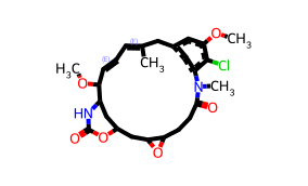 COc1cc2cc(c1Cl)N(C)C(=O)CCC1OC1CC1CC(NC(=O)O1)C(OC)/C=C/C=C(\C)C2